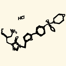 Cl.NC/C(=C\F)Cn1ncn(Cc2ccc(-c3ccc(S(=O)(=O)N4CCOCC4)cc3)s2)c1=O